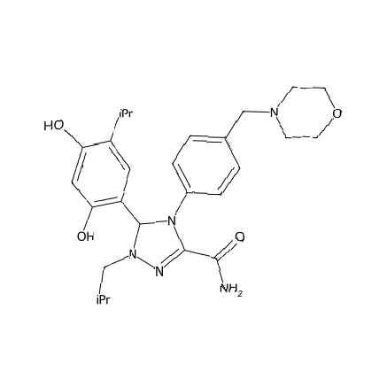 CC(C)CN1N=C(C(N)=O)N(c2ccc(CN3CCOCC3)cc2)C1c1cc(C(C)C)c(O)cc1O